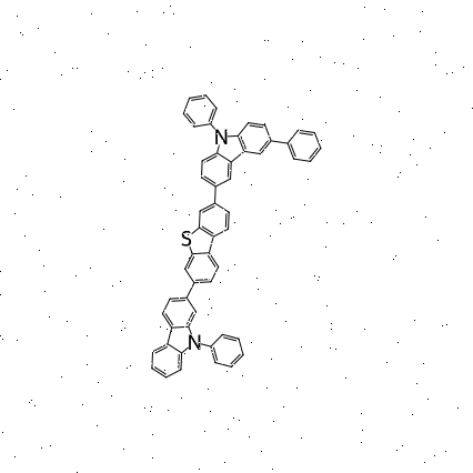 c1ccc(-c2ccc3c(c2)c2cc(-c4ccc5c(c4)sc4cc(-c6ccc7c8ccccc8n(-c8ccccc8)c7c6)ccc45)ccc2n3-c2ccccc2)cc1